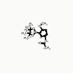 COc1ccc(OC(C)=O)cc1B1OC(C)(C)C(C)(C)O1